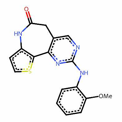 COc1ccccc1Nc1ncc2c(n1)-c1sccc1NC(=O)C2